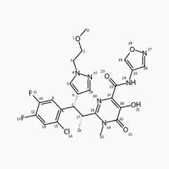 COCCn1cc([C@@H](c2cc(F)c(F)cc2Cl)[C@@H](C)c2nc(C(=O)Nc3cnoc3)c(O)c(=O)n2C)cn1